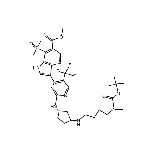 COC(=O)c1ccc2c(-c3nc(N[C@H]4CC[C@H](NCCCCN(C)C(=O)OC(C)(C)C)C4)ncc3C(F)(F)F)c[nH]c2c1P(C)(C)=O